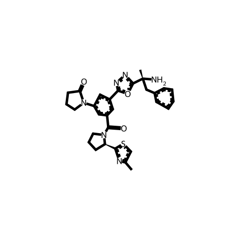 Cc1csc([C@H]2CCCN2C(=O)c2cc(-c3nnc([C@](C)(N)Cc4ccccc4)o3)cc(N3CCCC3=O)c2)n1